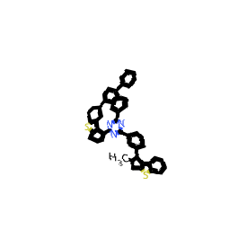 CC1C=c2sc3ccccc3c2=C1c1cccc(-c2nc(-c3c#cccc3)nc(-c3cccc4sc5c(c34)C=C(c3ccc(-c4ccccc4)cc3)CC5)n2)c1